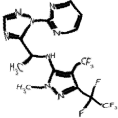 CC(Nc1c(C(F)(F)F)c(C(F)(F)C(F)(F)F)nn1C)c1ncnn1-c1ncccn1